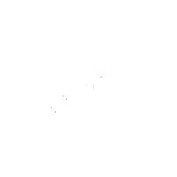 [N-]=[N+]=C[SiH2][SiH2][SiH3]